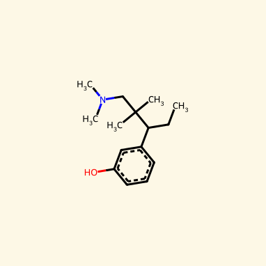 CCC(c1cccc(O)c1)C(C)(C)CN(C)C